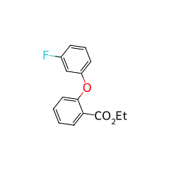 CCOC(=O)c1ccccc1Oc1cccc(F)c1